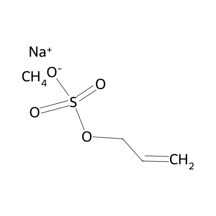 C.C=CCOS(=O)(=O)[O-].[Na+]